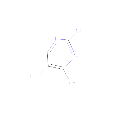 Cc1cnc(N)nc1C(F)(F)F